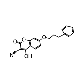 N#Cc1c(O)c2ccc(OCCCc3ccccc3)cc2oc1=O